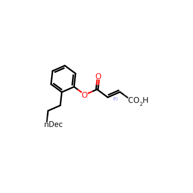 CCCCCCCCCCCCc1ccccc1OC(=O)/C=C/C(=O)O